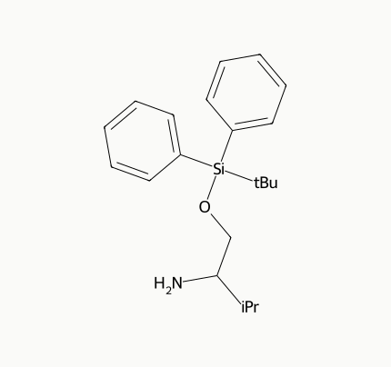 CC(C)C(N)CO[Si](c1ccccc1)(c1ccccc1)C(C)(C)C